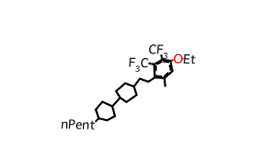 CCCCCC1CCC(C2CCC(CCc3c(C)cc(OCC)c(C(F)(F)F)c3C(F)(F)F)CC2)CC1